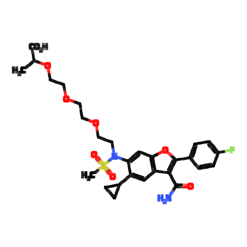 CC(OCCOCCOCCN(c1cc2oc(-c3ccc(F)cc3)c(C(N)=O)c2cc1C1CC1)S(C)(=O)=O)C(=O)O